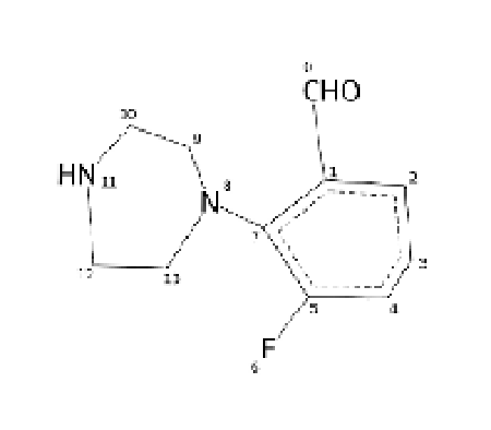 O=Cc1cccc(F)c1N1CCNCC1